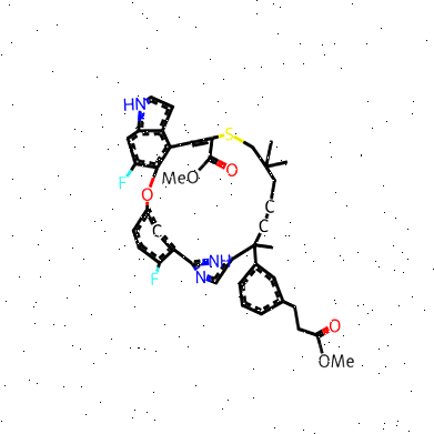 COC(=O)CCc1cccc(C2(C)CCCC(C)(C)CS/C(C(=O)OC)=C/c3c(c(F)cc4[nH]ccc34)Oc3ccc(F)c(c3)-c3ncc2[nH]3)c1